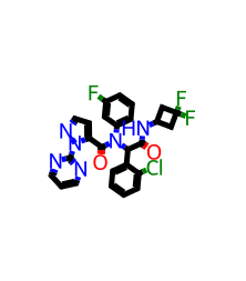 O=C(NC1CC(F)(F)C1)C(c1ccccc1Cl)N(C(=O)c1ccnn1-c1ncccn1)c1cccc(F)c1